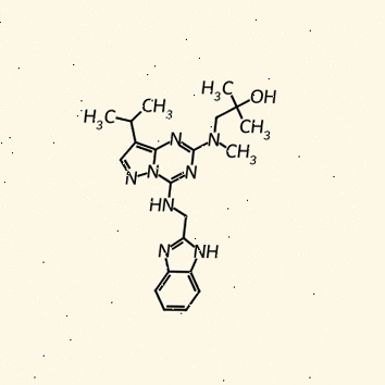 CC(C)c1cnn2c(NCc3nc4ccccc4[nH]3)nc(N(C)CC(C)(C)O)nc12